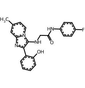 Cc1ccn2c(NCC(=O)Nc3ccc(F)cc3)c(-c3ccccc3O)nc2c1